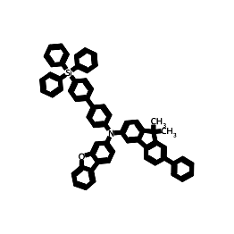 CC1(C)c2ccc(N(c3ccc(-c4ccc([Si](c5ccccc5)(c5ccccc5)c5ccccc5)cc4)cc3)c3ccc4c(c3)oc3ccccc34)cc2-c2ccc(-c3ccccc3)cc21